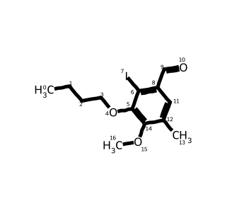 CCCCOc1c(I)c(C=O)cc(C)c1OC